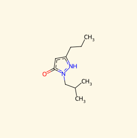 CCCc1cc(=O)n(CC(C)C)[nH]1